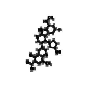 CNc1cc(F)cc2c1[nH]c1ncc(-c3cnc4c(c3)c(=O)c(C(=O)O)cn4C)c(N3CCC(O)C3)c12